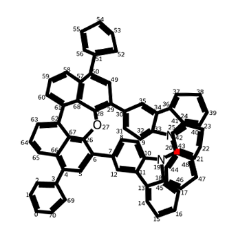 c1ccc(-c2cc(-c3ccc4c(c3)c3ccccc3n4-c3ccccc3)c3oc4c(-c5ccc6c(c5)c5ccccc5n6-c5ccccc5)cc(-c5ccccc5)c5cccc(c6cccc2c36)c54)cc1